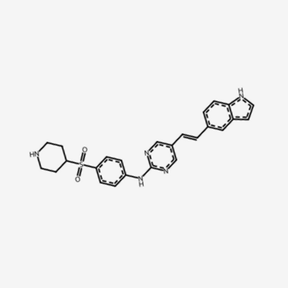 O=S(=O)(c1ccc(Nc2ncc(/C=C/c3ccc4[nH]ccc4c3)cn2)cc1)C1CCNCC1